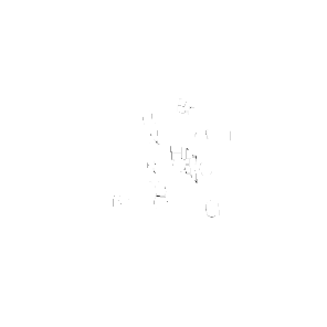 O=C(CCBr)N1CCN(C(=O)CCBr)CC1.O=[P@]1(N(CCCl)CCCl)N[C@H](OO)CCO1